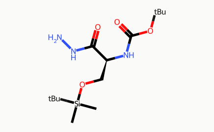 CC(C)(C)OC(=O)N[C@@H](CO[Si](C)(C)C(C)(C)C)C(=O)NN